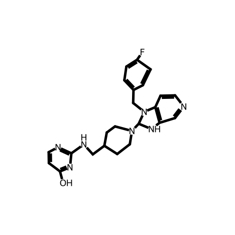 Oc1ccnc(NCC2CCN(C3Nc4cnccc4N3Cc3ccc(F)cc3)CC2)n1